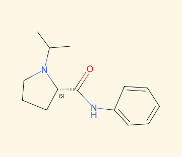 CC(C)N1CCC[C@H]1C(=O)Nc1ccccc1